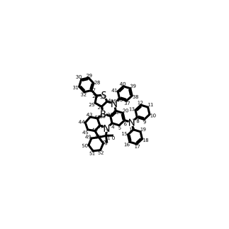 CC1(C)N2C3CC(N(C4=CCCC=C4)C4C=CC=CC4)=CC4=C3B(C3CC(c5ccccc5)SC3N4c3ccccc3)C3CCCC(C32)C12CCCCC2